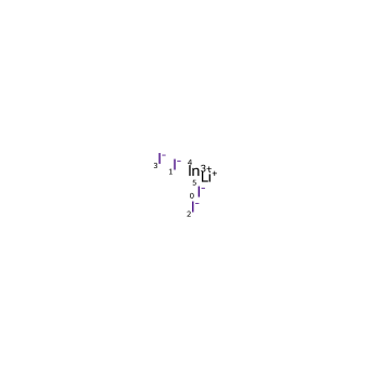 [I-].[I-].[I-].[I-].[In+3].[Li+]